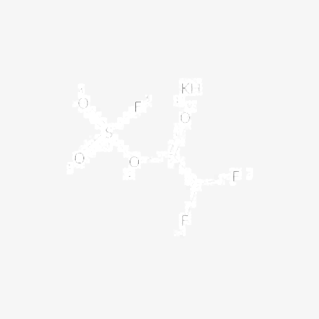 O=C(OS(=O)(=O)F)C(F)F.[KH]